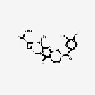 CNC(=O)[C@H]1C[C@H](Cn2c(NC(C)C)nc3c(c2=O)C[C@@H](C)N(C(=O)c2ccc(Cl)c(C(F)(F)F)c2)C3)C1